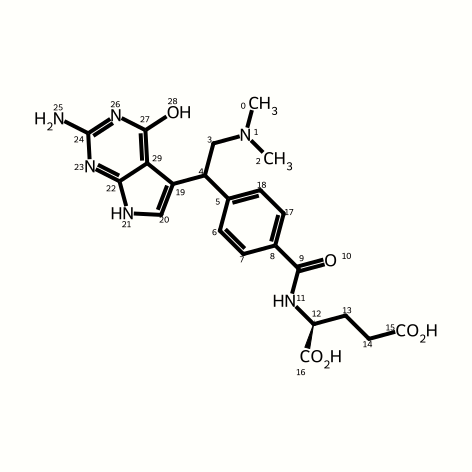 CN(C)CC(c1ccc(C(=O)N[C@@H](CCC(=O)O)C(=O)O)cc1)c1c[nH]c2nc(N)nc(O)c12